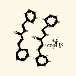 CC(=O)O.O=C(C=Cc1ccccc1)C=Cc1ccccc1.O=C(C=Cc1ccccc1)C=Cc1ccccc1.[Pd]